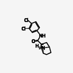 CN1C2CCC1CC(C(=O)Nc1ccc(Cl)c(Cl)c1)C2